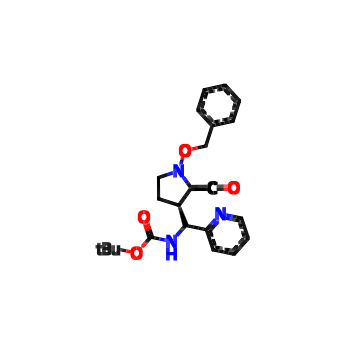 CC(C)(C)OC(=O)NC(c1ccccn1)[C@H]1CCN(OCc2ccccc2)C1=C=O